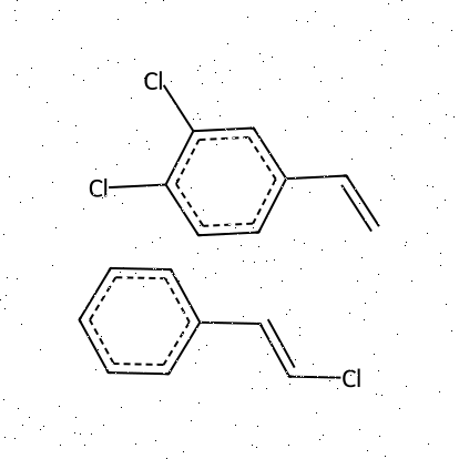 C=Cc1ccc(Cl)c(Cl)c1.ClC=Cc1ccccc1